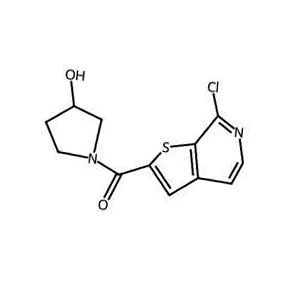 O=C(c1cc2ccnc(Cl)c2s1)N1CCC(O)C1